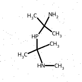 CNC(C)(C)PC(C)(C)N